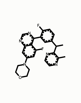 Cc1nccnc1C(C)c1ccc(F)c(-c2ncnc3cc(N4CCOCC4)cc(F)c23)c1